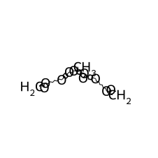 C=CC(=O)OCCCCCCOc1ccc(OCOc2ccc(OC(=O)c3ccc(OCCCCCCOC(=O)C=C)cc3)cc2C)cc1